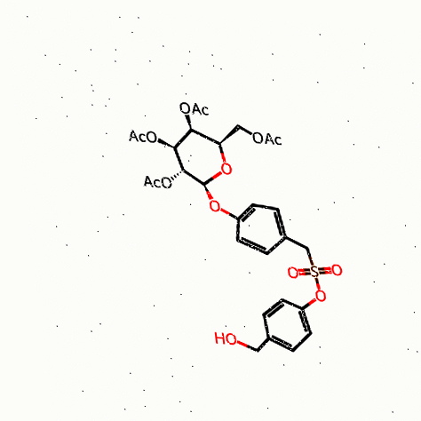 CC(=O)OC[C@H]1O[C@@H](Oc2ccc(CS(=O)(=O)Oc3ccc(CO)cc3)cc2)[C@H](OC(C)=O)[C@@H](OC(C)=O)[C@H]1OC(C)=O